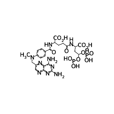 CN(Cc1cnc2nc(N)nc(N)c2n1)c1ccc(C(=O)NC(CCC(=O)NC(CC(OP(O)O)O[PH](=O)O)C(=O)O)C(=O)O)cc1